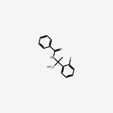 CC(NC(=O)c1ccccc1)(C(=O)O)c1ccccc1F